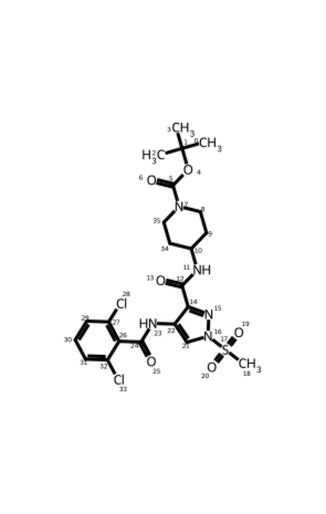 CC(C)(C)OC(=O)N1CCC(NC(=O)c2nn(S(C)(=O)=O)cc2NC(=O)c2c(Cl)cccc2Cl)CC1